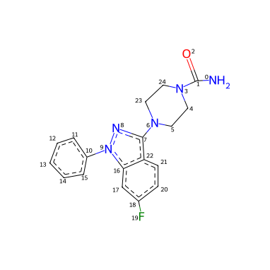 NC(=O)N1CCN(c2nn(-c3ccccc3)c3cc(F)ccc23)CC1